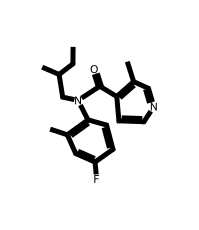 CCC(C)CN(C(=O)c1ccncc1C)c1ccc(F)cc1C